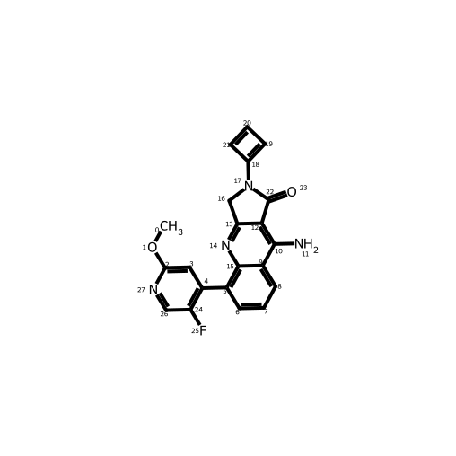 COc1cc(-c2cccc3c(N)c4c(nc23)CN(C2=CC=C2)C4=O)c(F)cn1